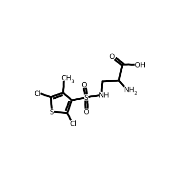 Cc1c(Cl)sc(Cl)c1S(=O)(=O)NCC(N)C(=O)O